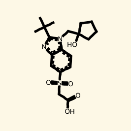 CC(C)(C)c1nc2cc(S(=O)(=O)CC(=O)O)ccc2n1CC1(O)CCCC1